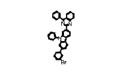 Brc1cccc(-c2ccc3c4ccc(-c5nc6c(c(-c7ccccc7)n5)C=CCC6)cc4n(-c4ccccc4)c3c2)c1